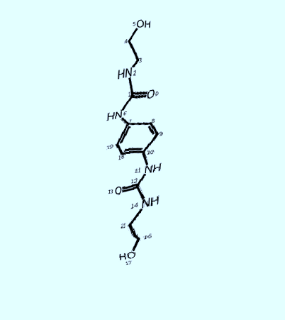 O=C(NCCO)Nc1ccc(NC(=O)NCCO)cc1